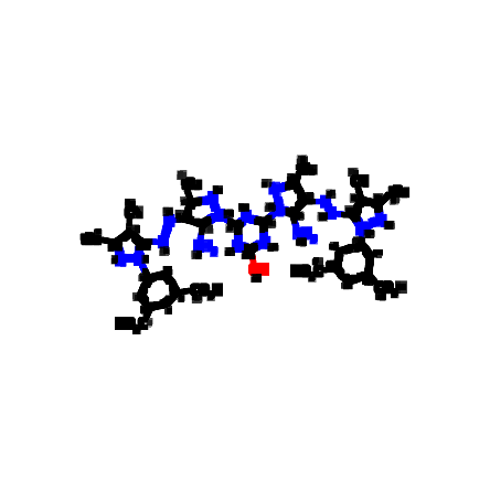 CC(C)(C)c1nn(-c2cc(C(=O)O)cc(C(=O)O)c2)c(N=Nc2c(C(C)(C)C)nn(-c3nc(O)nc(-n4nc(C(C)(C)C)c(N=Nc5c(C#N)c(C(C)(C)C)nn5-c5cc(C(=O)O)cc(C(=O)O)c5)c4N)n3)c2N)c1C#N